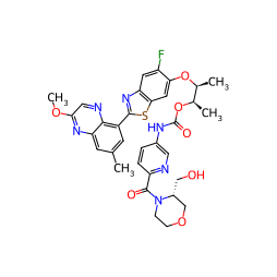 COc1cnc2c(-c3nc4cc(F)c(O[C@@H](C)[C@@H](C)OC(=O)Nc5ccc(C(=O)N6CCOC[C@H]6CO)nc5)cc4s3)cc(C)cc2n1